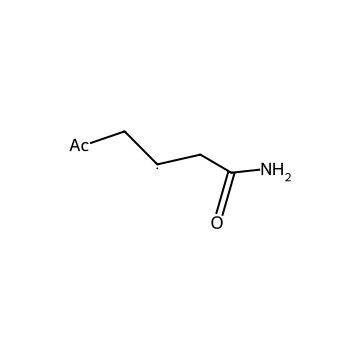 CC(=O)C[CH]CC(N)=O